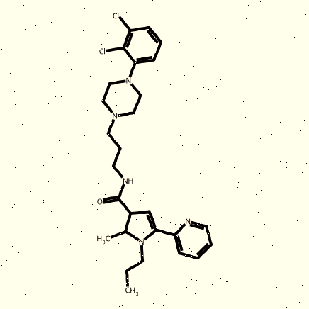 CCCN1C(c2ccccn2)=CC(C(=O)NCCCN2CCN(c3cccc(Cl)c3Cl)CC2)C1C